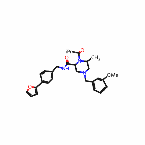 COc1cccc(CN2CC(C)N(C(=O)C(C)C)C(C(=O)NCc3ccc(-c4ccco4)cc3)C2)c1